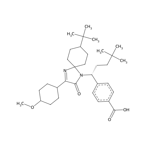 COC1CCC(C2=NC3(CCC(C(C)(C)C)CC3)N([C@H](CCC(C)(C)C)c3ccc(C(=O)O)cc3)C2=O)CC1